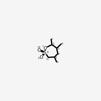 CC1CC(C)C(C)OS(=O)(=O)C1